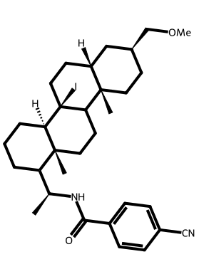 COC[C@H]1CC[C@]2(C)C3CC[C@]4(C)C([C@H](C)NC(=O)c5ccc(C#N)cc5)CCC[C@H]4[C@]3(I)CC[C@@H]2C1